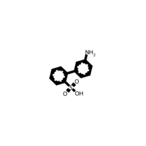 Nc1cccc(-c2ccccc2S(=O)(=O)O)c1